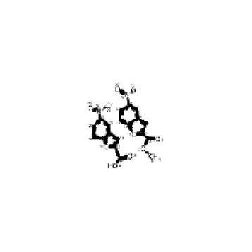 COC(=O)c1cc2cc([N+](=O)[O-])ccc2o1.O=C(O)c1cc2cc([N+](=O)[O-])ccc2o1